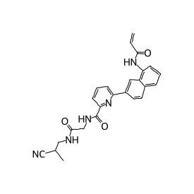 C=CC(=O)Nc1cccc2ccc(-c3cccc(C(=O)NCC(=O)NCC(C)C#N)n3)cc12